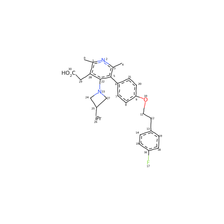 Cc1nc(C)c(-c2ccc(OCCc3ccc(F)cc3)cc2)c(N2CC(C(C)C)C2)c1CC(=O)O